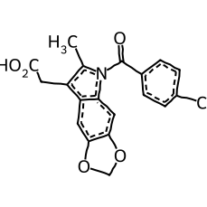 Cc1c(CC(=O)O)c2cc3c(cc2n1C(=O)c1ccc(Cl)cc1)OCO3